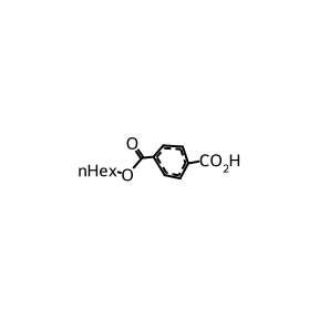 CCCCCCOC(=O)c1ccc(C(=O)O)cc1